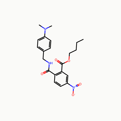 CCCCOC(=O)c1cc([N+](=O)[O-])ccc1C(=O)NCc1ccc(N(C)C)cc1